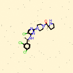 C[C@@H](Nc1nc(N2CCN(C(=O)[C@]3(C)CCCN3)CC2)ncc1Cl)c1ccc(Cl)cc1Cl